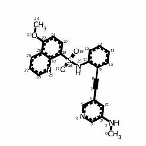 CNc1cncc(C#Cc2ccccc2NS(=O)(=O)c2ccc(OC)c3cccnc23)c1